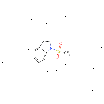 O=S(=O)(N1CCc2ccccc21)C(F)(F)F